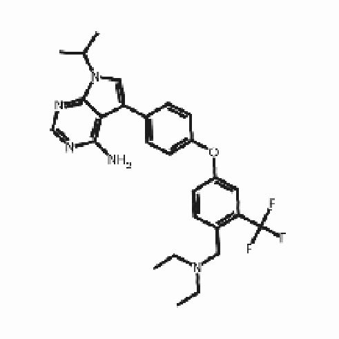 CCN(CC)Cc1ccc(Oc2ccc(-c3cn(C(C)C)c4ncnc(N)c34)cc2)cc1C(F)(F)F